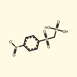 O=[N+]([O-])c1ccc(S(=O)(=O)CP(=O)(O)O)cc1